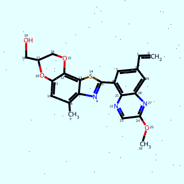 C=Cc1cc(-c2nc3c(C)cc4c(c3s2)OCC(CO)O4)c2ncc(OC)nc2c1